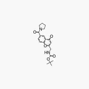 CC(C)(C)OC(=O)NCc1cc(=O)c2cc(C(=O)N3CCCC3)ccc2o1